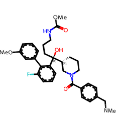 CNCc1ccc(C(=O)N2CCC[C@@H]([C@@](O)(CCCNC(=O)OC)c3cccc(F)c3-c3cccc(OC)c3)C2)cc1